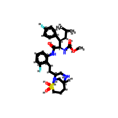 COC(=O)N[C@H](C(=O)Nc1cccc(F)c1CCC1CN[C@@H]2CCCS(=O)(=O)N1C2)[C@H](CC(C)C)c1ccc(F)cc1